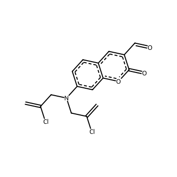 C=C(Cl)CN(CC(=C)Cl)c1ccc2cc(C=O)c(=O)oc2c1